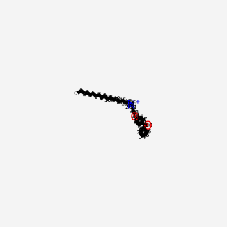 CCCCCCCCCCCCCCCCCC[N+](C)(C)CCCOc1ccc(C(=O)c2ccccc2)cc1